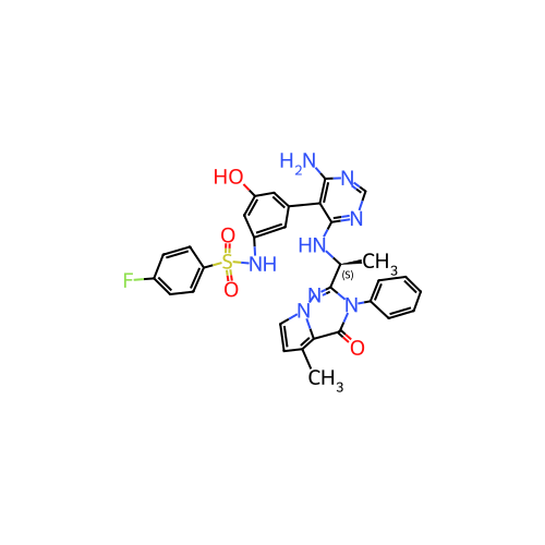 Cc1ccn2nc([C@H](C)Nc3ncnc(N)c3-c3cc(O)cc(NS(=O)(=O)c4ccc(F)cc4)c3)n(-c3ccccc3)c(=O)c12